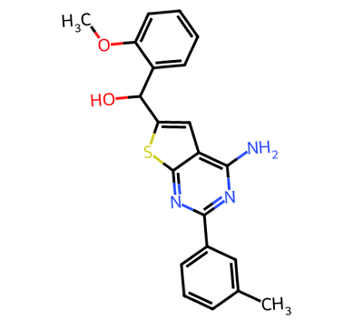 COc1ccccc1C(O)c1cc2c(N)nc(-c3cccc(C)c3)nc2s1